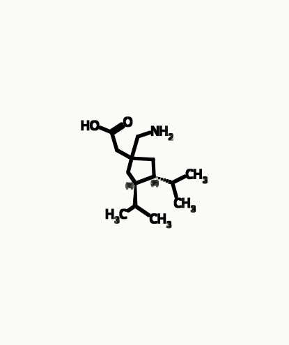 CC(C)[C@H]1CC(CN)(CC(=O)O)C[C@@H]1C(C)C